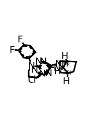 Fc1ccc(N2CCCn3nc(N[C@H]4[C@@H]5CC[C@H]4CN(c4cnnc(Cl)c4)C5)nc32)cc1F